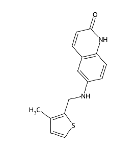 Cc1ccsc1CNc1ccc2[nH]c(=O)ccc2c1